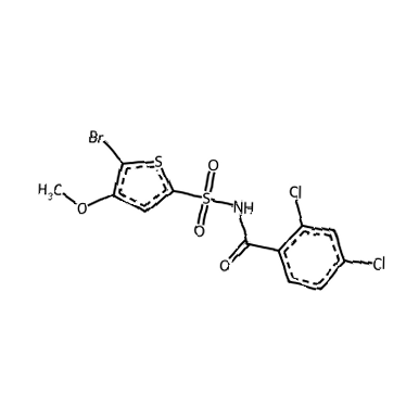 COc1cc(S(=O)(=O)NC(=O)c2ccc(Cl)cc2Cl)sc1Br